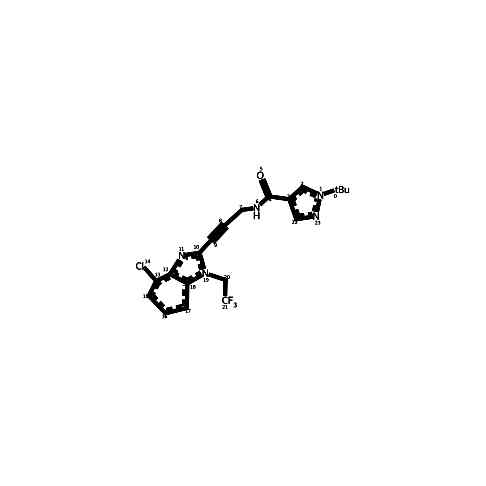 CC(C)(C)n1cc(C(=O)NCC#Cc2nc3c(Cl)cccc3n2CC(F)(F)F)cn1